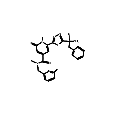 Cc1cccc(CN(C)C(=O)c2cc(-c3nnc([C@](C)(N)Cc4ccccc4)o3)n(C)c(=O)c2)n1